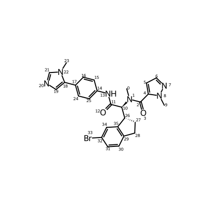 CN(C(=O)c1ccnn1C)[C@H](C(=O)Nc1ccc(-c2cncn2C)cc1)[C@@H]1CCc2ccc(Br)cc21